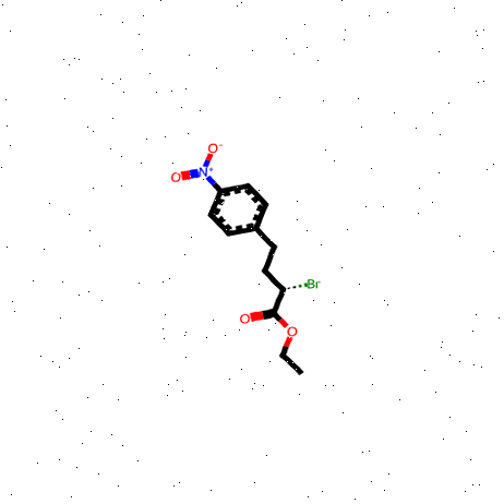 CCOC(=O)[C@@H](Br)CCc1ccc([N+](=O)[O-])cc1